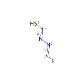 C/C=N/N=I/S